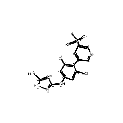 CS(=O)(=O)c1cncc(-c2c(Cl)cc(Nc3n[nH]c(N)n3)cc2Cl)c1